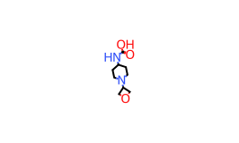 O=C(O)NC1CCN(C2COC2)CC1